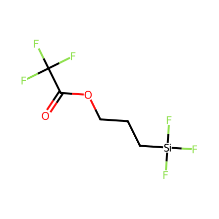 O=C(OCCC[Si](F)(F)F)C(F)(F)F